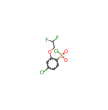 O=S(=O)(Cl)c1ccc(Cl)cc1OCC(F)F